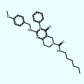 CCCCCCNC(=O)N1CCc2nc(NCc3ccc(OC)cc3)n(-c3ccccc3)c(=O)c2C1